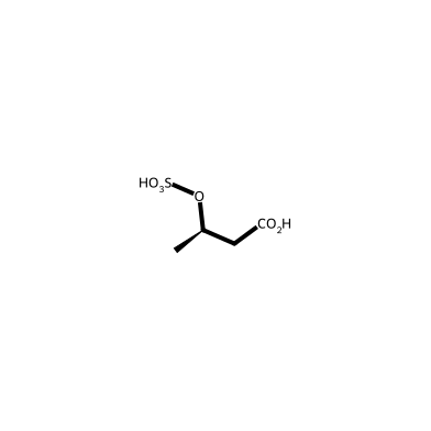 C[C@H](CC(=O)O)OS(=O)(=O)O